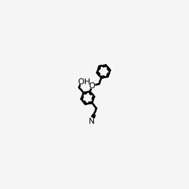 N#CCc1ccc(CO)c(OCc2ccccc2)c1